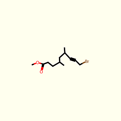 COC(=O)CCC(C)CC(C)C#CCBr